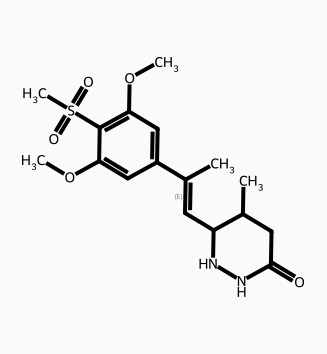 COc1cc(/C(C)=C/C2NNC(=O)CC2C)cc(OC)c1S(C)(=O)=O